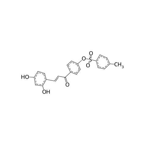 Cc1ccc(S(=O)(=O)Oc2ccc(C(=O)/C=C/c3ccc(O)cc3O)cc2)cc1